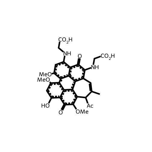 COc1c2c3c4c(c(NCC(=O)O)c(=O)c5c(NCC(=O)O)cc(OC)c(c6c(OC)cc(O)c(c1=O)c63)c54)C=C(C)C2C(C)=O